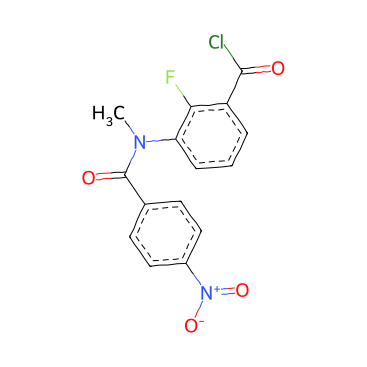 CN(C(=O)c1ccc([N+](=O)[O-])cc1)c1cccc(C(=O)Cl)c1F